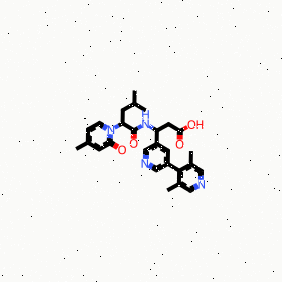 Cc1ccn(C(CC(C)C)C(=O)NC(CC(=O)O)c2cncc(-c3c(C)cncc3C)c2)c(=O)c1